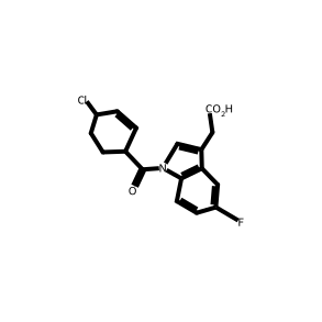 O=C(O)Cc1cn(C(=O)C2C=CC(Cl)CC2)c2ccc(F)cc12